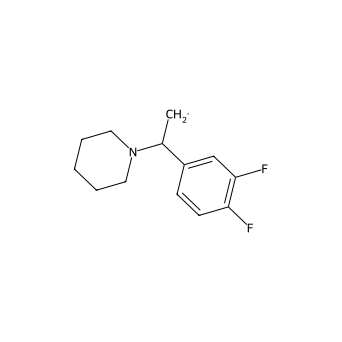 [CH2]C(c1ccc(F)c(F)c1)N1CCCCC1